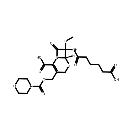 CO[C@@]1(NC(=O)CCCCC(=O)O)C(=O)N2C(C(=O)O)=C(COC(=O)N3CCOCC3)CS[C@H]21